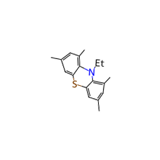 CCN1c2c(C)cc(C)cc2Sc2cc(C)cc(C)c21